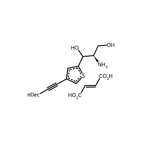 CCCCCCCCCCC#Cc1csc(C(O)[C@H](N)CO)c1.O=C(O)C=CC(=O)O